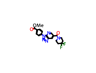 COC(=O)c1ccc(-n2nnc3cc(C(=O)N4CCC(F)(F)CC4)cnc32)cc1